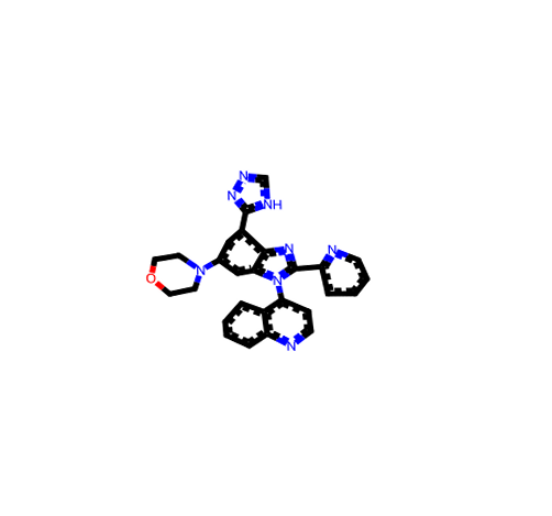 c1ccc(-c2nc3c(-c4nnc[nH]4)cc(N4CCOCC4)cc3n2-c2ccnc3ccccc23)nc1